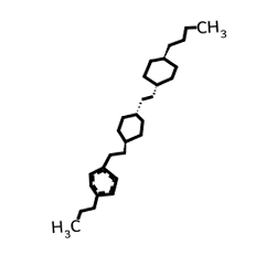 CCCC[C@H]1CC[C@H](CC[C@H]2CC[C@H](CCc3ccc(CCC)cc3)CC2)CC1